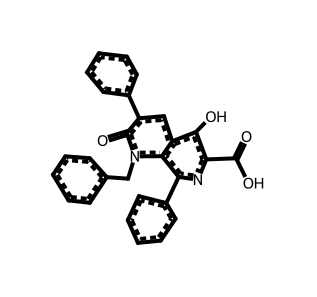 O=C(O)c1nc(-c2ccccc2)c2c(cc(-c3ccccc3)c(=O)n2Cc2ccccc2)c1O